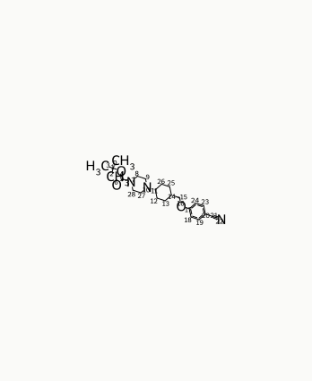 CC(C)(C)OC(=O)N1CCN([C@H]2CC[C@H](COc3ccc(C#N)cc3)CC2)CC1